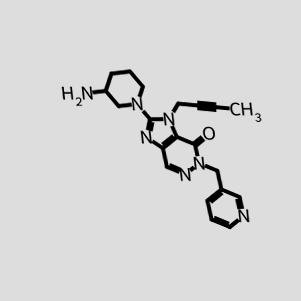 CC#CCn1c(N2CCCC(N)C2)nc2cnn(Cc3cccnc3)c(=O)c21